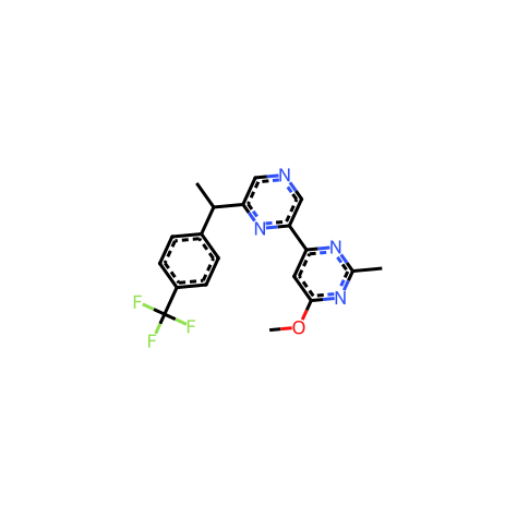 COc1cc(-c2cncc(C(C)c3ccc(C(F)(F)F)cc3)n2)nc(C)n1